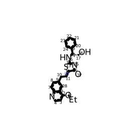 CCOc1ccnc2ccc(C/C=C3\SC(N[C@@H](CO)c4ccccc4)=NC3=O)cc12